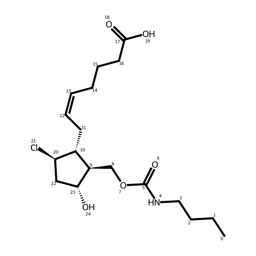 CCCCNC(=O)OC[C@@H]1[C@@H](C/C=C\CCCC(=O)O)[C@H](Cl)C[C@H]1O